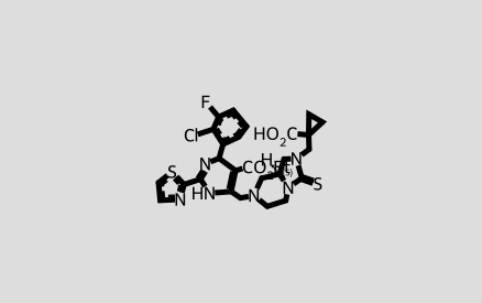 CCOC(=O)C1=C(CN2CCN3C(=S)N(CC4(C(=O)O)CC4)C[C@@H]3C2)NC(c2nccs2)=NC1c1cccc(F)c1Cl